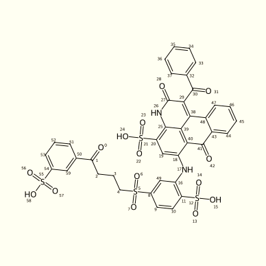 O=C(CCCS(=O)(=O)c1ccc(S(=O)(=O)O)c(Nc2cc(S(=O)(=O)O)c3[nH]c(=O)c(C(=O)c4ccccc4)c4c3c2C(=O)c2ccccc2-4)c1)c1cccc(S(=O)(=O)O)c1